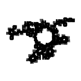 C[C@@H](O)[C@H](NC(=O)[C@@H]1CSSC[C@H](NC(=O)[C@@H](Cc2ccccc2)NC(=O)OC(C)(C)C)C(=O)N[C@@H](Cc2ccc(O)cc2)C(=O)N[C@H](Cc2c[nH]c3ccccc23)C(=O)N[C@@H](CCCCNC(=O)OC(C)(C)C)C(=O)N[C@@H]([C@@H](C)O)C(=O)N1)C(=O)NCCCN1C(=O)C=CC1=O